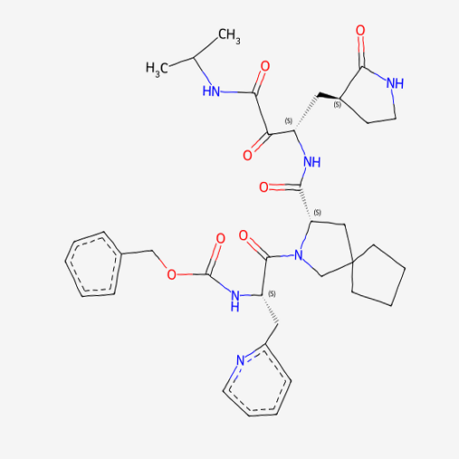 CC(C)NC(=O)C(=O)[C@H](C[C@@H]1CCNC1=O)NC(=O)[C@@H]1CC2(CCCC2)CN1C(=O)[C@H](Cc1ccccn1)NC(=O)OCc1ccccc1